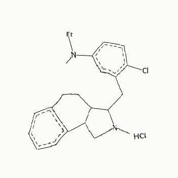 CCN(C)c1ccc(Cl)c(CC2C3CCc4ccccc4C3CN2C)c1.Cl